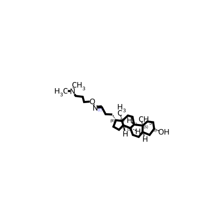 CN(C)CCCO/N=C/CC[C@H]1CC[C@H]2[C@@H]3CC[C@@H]4C[C@@H](O)CC[C@]4(C)[C@H]3CC[C@]12C